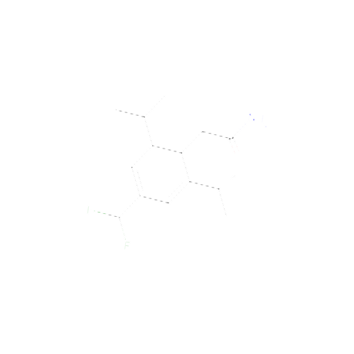 CC(C)C1=CC(C(F)F)=CC(C(C)C)C1CC(N)=O